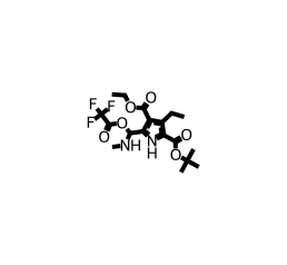 CCOC(=O)c1c(C(NC)OC(=O)C(F)(F)F)[nH]c(C(=O)OC(C)(C)C)c1CC